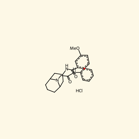 COc1cccc(C(=O)NC2CC3CCCC(C2)N3CC(=O)Nc2ccccc2)c1.Cl